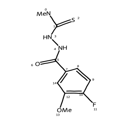 CNC(=S)NNC(=O)c1ccc(F)c(OC)c1